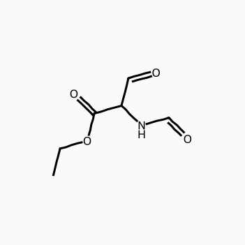 CCOC(=O)C(C=O)NC=O